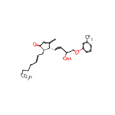 C=C1CC(=O)[C@H](CC=CCCCC(=O)O)[C@H]1C=CC(O)COc1cccc(C(F)(F)F)c1